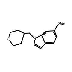 COc1ccc2[c]cn(CC3CCOCC3)c2c1